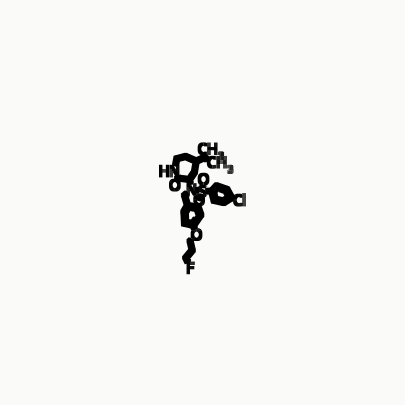 CC(C)C1CCNC(=O)C(N(Cc2ccc(OCCCF)cc2)S(=O)(=O)c2ccc(Cl)cc2)C1